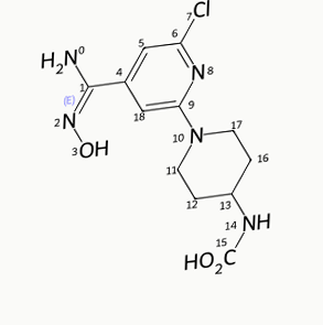 N/C(=N/O)c1cc(Cl)nc(N2CCC(NC(=O)O)CC2)c1